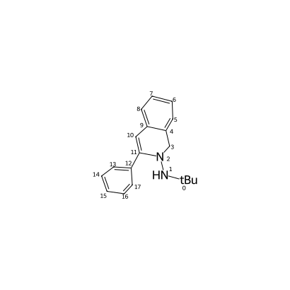 CC(C)(C)NN1Cc2ccccc2C=C1c1ccccc1